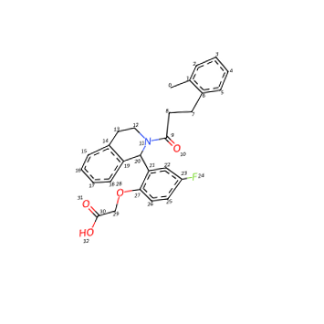 Cc1ccccc1CCC(=O)N1CCc2ccccc2C1c1cc(F)ccc1OCC(=O)O